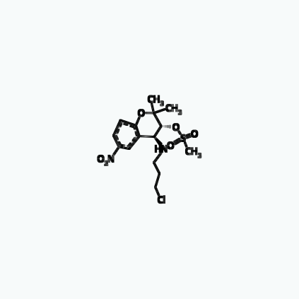 CC1(C)Oc2ccc([N+](=O)[O-])cc2[C@H](NCCCCl)[C@H]1OS(C)(=O)=O